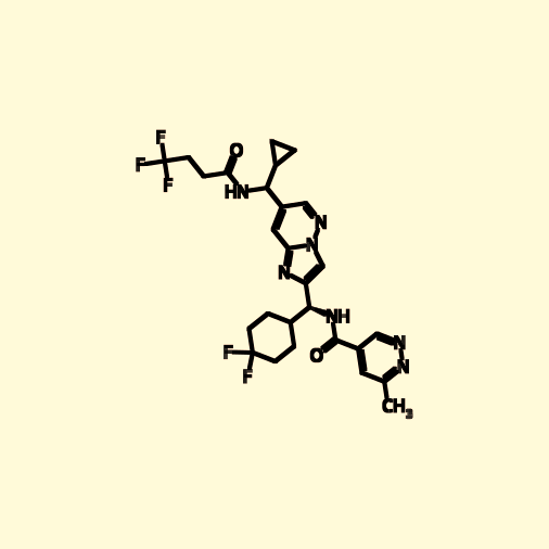 Cc1cc(C(=O)N[C@H](c2cn3ncc(C(NC(=O)CCC(F)(F)F)C4CC4)cc3n2)C2CCC(F)(F)CC2)cnn1